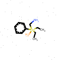 CC[SH](P)(CC)(CN)c1ccccc1